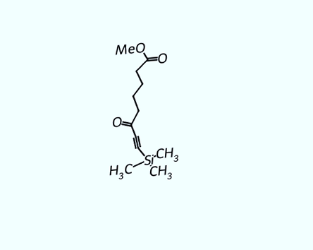 COC(=O)CCCCC(=O)C#C[Si](C)(C)C